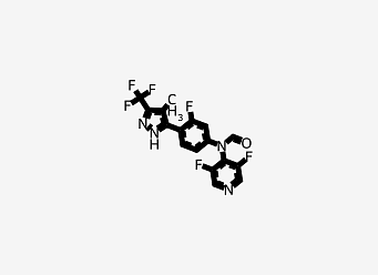 Cc1c(C(F)(F)F)n[nH]c1-c1ccc(N(C=O)c2c(F)cncc2F)cc1F